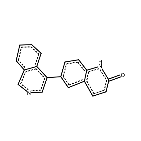 O=c1ccc2cc(-c3cncc4ccccc34)ccc2[nH]1